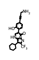 NCC#Cc1ccc(-c2c[nH]c3c(C4CCCCC4)c(C(F)(F)F)nn3c2=O)c(O)c1